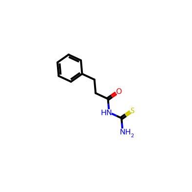 NC(=S)NC(=O)CCc1ccccc1